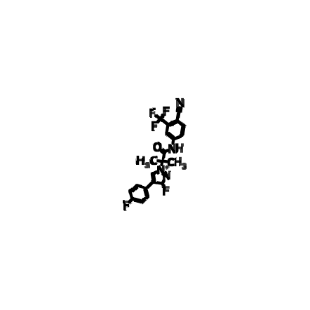 CC(C)(C(=O)Nc1ccc(C#N)c(C(F)(F)F)c1)[N+]1=NC(F)C(c2ccc(F)cc2)=C1